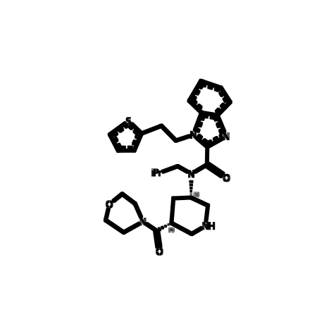 CC(C)CN(C(=O)c1nc2ccccc2n1CCc1cccs1)[C@@H]1CNC[C@H](C(=O)N2CCOCC2)C1